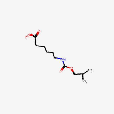 CC(C)COC(=O)NCCCCCC(=O)O